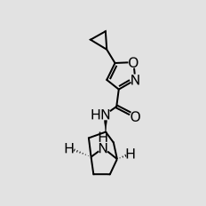 O=C(N[C@H]1C[C@H]2CC[C@@H](C1)N2)c1cc(C2CC2)on1